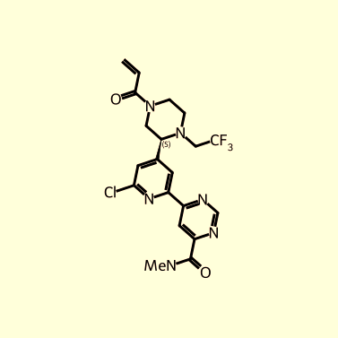 C=CC(=O)N1CCN(CC(F)(F)F)[C@@H](c2cc(Cl)nc(-c3cc(C(=O)NC)ncn3)c2)C1